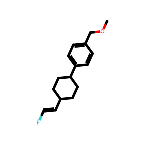 COCc1ccc(C2CCC(/C=C/F)CC2)cc1